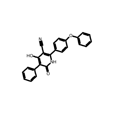 N#Cc1c(-c2ccc(Oc3ccccc3)cc2)[nH]c(=O)c(-c2ccccc2)c1O